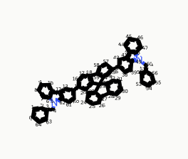 c1ccc(Cn2c3ccccc3c3cc(-c4ccc5c(c4)C4(c6ccccc6-c6ccccc64)c4cc(-c6ccc7c(c6)c6ccccc6n7Cc6ccccc6)ccc4-5)ccc32)cc1